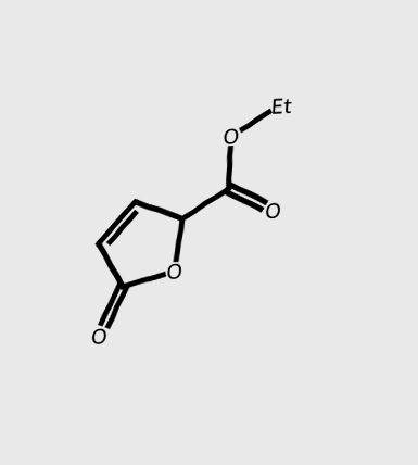 CCOC(=O)C1C=CC(=O)O1